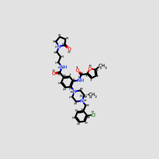 Cc1ccc(C(=O)Nc2cc(C(=O)NCCCN3CCCC3=O)ccc2N2CCN(Cc3ccccc3Cl)[C@@H](C)C2)o1